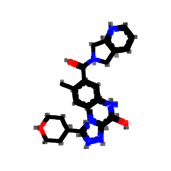 Cc1cc2c(cc1C(=O)N1Cc3cccnc3C1)[nH]c(=O)c1nnc(C3CCOCC3)n12